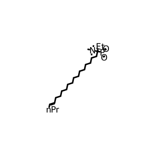 CCCC=CCCCCCCCCCCCCCCC(CC)(P(=O)=O)[N+](C)(C)C